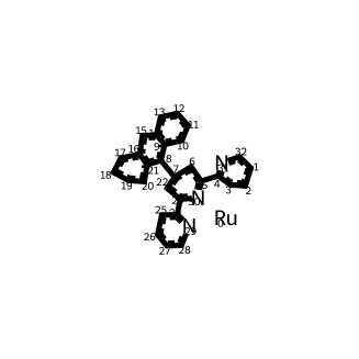 [Ru].c1ccc(-c2cc(-c3c4ccccc4cc4ccccc34)cc(-c3ccccn3)n2)nc1